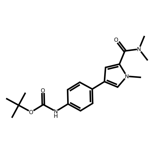 CN(C)C(=O)c1cc(-c2ccc(NC(=O)OC(C)(C)C)cc2)cn1C